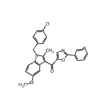 COc1ccc2c(c1)c(C(=O)c1cnc(-c3cccnc3)o1)c(C)n2Cc1ccc(Cl)cc1